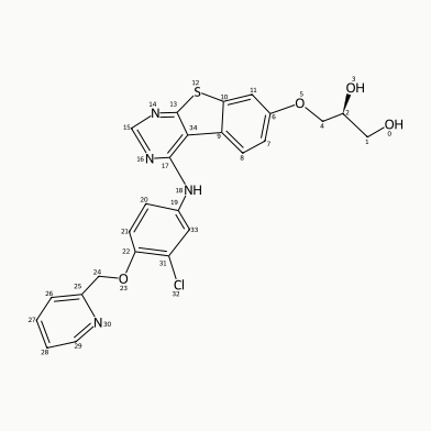 OC[C@H](O)COc1ccc2c(c1)sc1ncnc(Nc3ccc(OCc4ccccn4)c(Cl)c3)c12